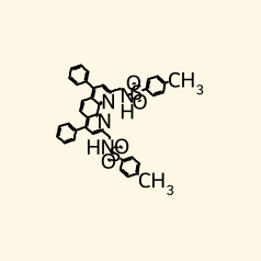 Cc1ccc(S(=O)(=O)NCc2cc(-c3ccccc3)c3ccc4c(-c5ccccc5)cc(CNS(=O)(=O)c5ccc(C)cc5)nc4c3n2)cc1